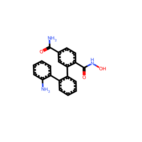 NC(=O)c1ccc(C(=O)NO)c(-c2ccccc2-c2ccccc2N)c1